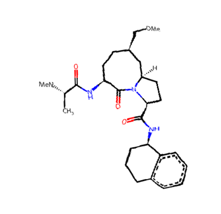 CN[C@@H](C)C(=O)N[C@H]1CC[C@@H](COC)C[C@H]2CC[C@@H](C(=O)N[C@@H]3CCCc4ccccc43)N2C1=O